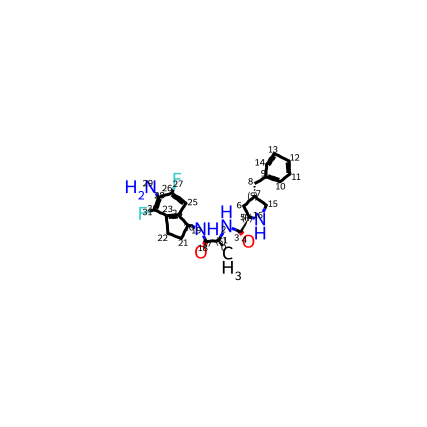 C[C@H](NC(=O)[C@H]1C[C@H](Cc2ccccc2)CN1)C(=O)NC1CCc2c1cc(F)c(N)c2F